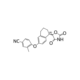 Cc1cc(C#N)ccc1Oc1ccc2c(c1)CCC[C@H]2C1OC(=O)NC1=O